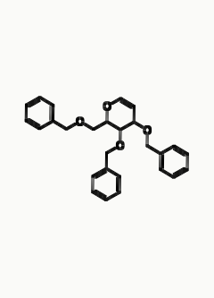 C1=CC(OCc2ccccc2)C(OCc2ccccc2)C(COCc2ccccc2)O1